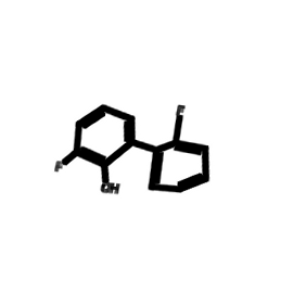 Oc1c(F)cccc1-c1ccccc1F